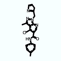 Cc1ccc(NC(=O)c2cnc3c(c(C)nn3CC3=NC=CC3)c2Cl)cc1